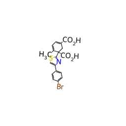 CC1=CC=C(C(=O)O)CC1(C(=O)O)c1nc(-c2ccc(Br)cc2)cs1